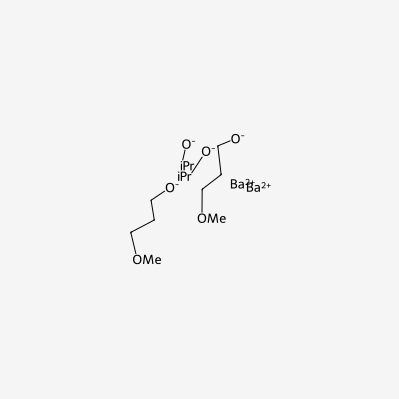 CC(C)[O-].CC(C)[O-].COCCC[O-].COCCC[O-].[Ba+2].[Ba+2]